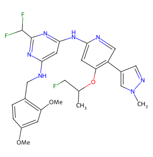 COc1ccc(CNc2cc(Nc3cc(OC(C)CF)c(-c4cnn(C)c4)cn3)nc(C(F)F)n2)c(OC)c1